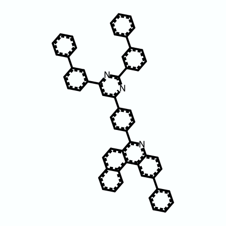 c1ccc(-c2cccc(-c3cc(-c4ccc(-c5nc6ccc(-c7ccccc7)cc6c6c5ccc5ccccc56)cc4)nc(-c4cccc(-c5ccccc5)c4)n3)c2)cc1